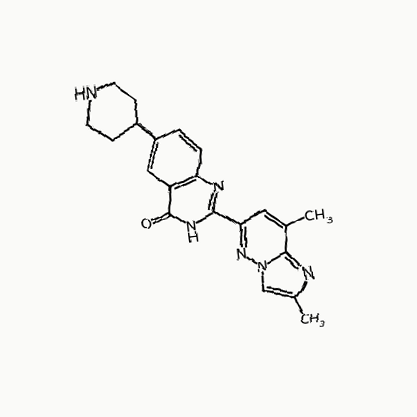 Cc1cn2nc(-c3nc4ccc(C5CCNCC5)cc4c(=O)[nH]3)cc(C)c2n1